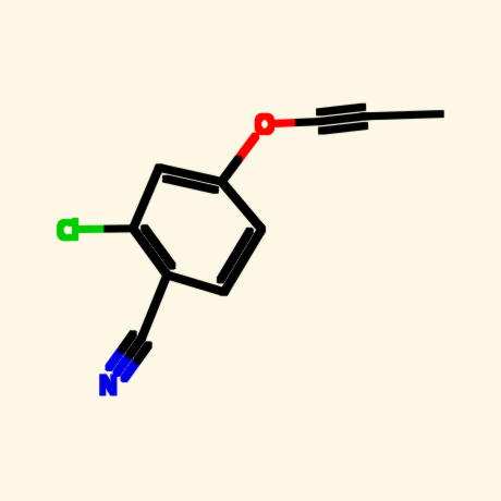 CC#COc1ccc(C#N)c(Cl)c1